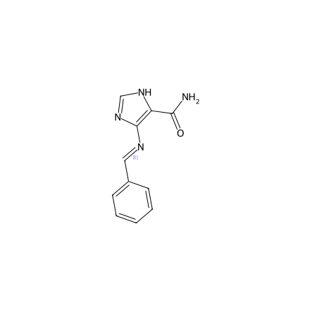 NC(=O)c1[nH]cnc1/N=C/c1ccccc1